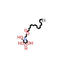 CC/C=C\C/C=C\C/C=C\C/C=C\C/C=C\CCCC(=O)OCCCN1C[C@H](O)[C@@H](O)[C@H](O)[C@H]1CO